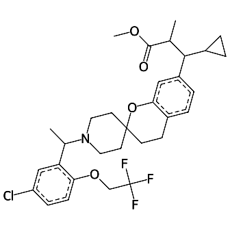 COC(=O)C(C)C(c1ccc2c(c1)OC1(CC2)CCN(C(C)c2cc(Cl)ccc2OCC(F)(F)F)CC1)C1CC1